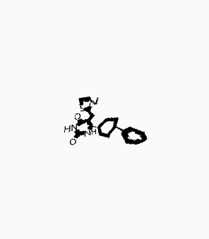 O=c1[nH]c(=O)c(Cc2nccs2)c([C@H]2CC[C@H](c3ccccc3)CC2)[nH]1